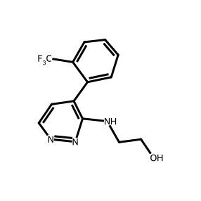 OCCNc1nnccc1-c1ccccc1C(F)(F)F